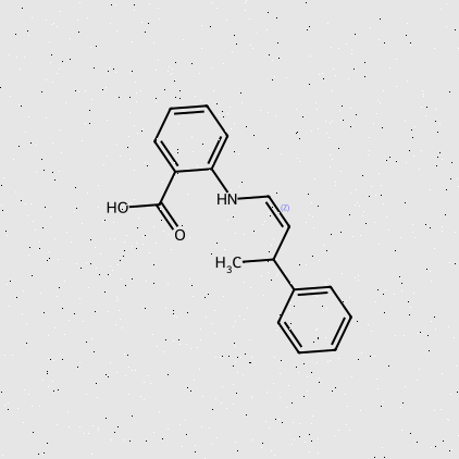 CC(/C=C\Nc1ccccc1C(=O)O)c1ccccc1